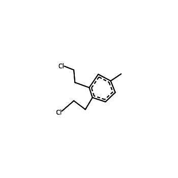 Cc1ccc(CCCl)c(CCCl)c1